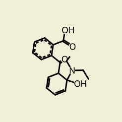 CCN(CC)C1(O)C=CC=CC1C(=O)c1ccccc1C(=O)O